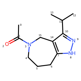 CC(=O)N1CCCc2[nH]nc(C(C)C)c2C1